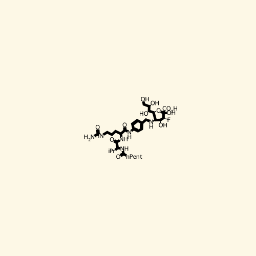 CCCCCC(=O)NC(C(=O)NC(CCCNC(N)=O)C(=O)Nc1ccc(CN[C@@H]2[C@@H](O)[C@@H](F)C(O)(C(=O)O)O[C@H]2[C@H](O)[C@H](O)CO)cc1)C(C)C